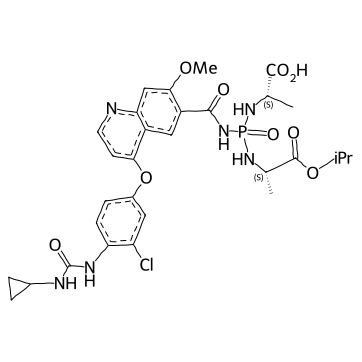 COc1cc2nccc(Oc3ccc(NC(=O)NC4CC4)c(Cl)c3)c2cc1C(=O)NP(=O)(N[C@@H](C)C(=O)O)N[C@@H](C)C(=O)OC(C)C